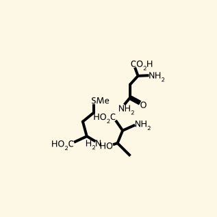 CC(O)C(N)C(=O)O.CSCCC(N)C(=O)O.NC(=O)CC(N)C(=O)O